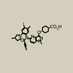 CC#CC(=O)N(c1ccc2c(n1)c(O[C@H]1CC[C@H](C(=O)O)CC1)nn2C)c1cc(C)c(I)cc1N1CCC(C)C1